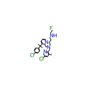 Cc1cc(Cl)cnc1CN(CCCCNCCF)Cc1ncccc1C(C)(C)c1ccc(Cl)cc1